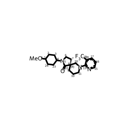 COC1CCC(N2CC[C@@]3(CCCN(c4ncccc4C(F)(F)F)C3)C2=O)CC1